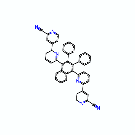 N#CC1=NCCC(c2cccc(-c3c(-c4ccccc4)c(-c4ccccc4)c(C4=NC(c5ccnc(C#N)c5)CC=C4)c4ccccc34)n2)=C1